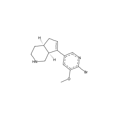 COc1cc(C2=CC[C@@H]3CCNC[C@H]23)cnc1Br